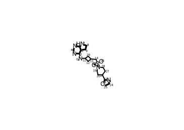 CN(c1ncnc2[nH]ccc12)C1CC(CS(=O)(=O)N2CCC(c3ncco3)CC2)C1